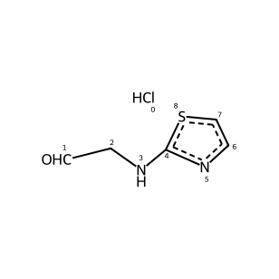 Cl.O=CCNc1nccs1